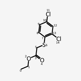 CCOC(=O)CSc1ccc(Cl)cc1Cl